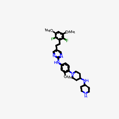 COc1cc(Nc2ncc(CCc3c(F)c(OC)cc(OC)c3F)cn2)ccc1N1CCC(NC2CCNCC2)CC1